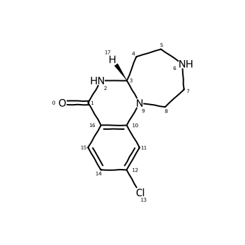 O=C1N[C@@H]2CCNCCN2c2cc(Cl)ccc21